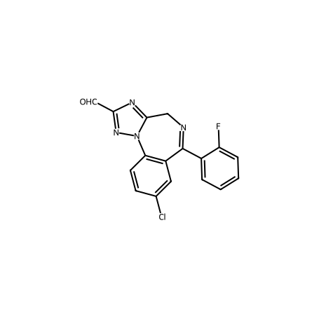 O=Cc1nc2n(n1)-c1ccc(Cl)cc1C(c1ccccc1F)=NC2